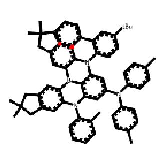 Cc1ccc(N(c2ccc(C)cc2)c2cc3c4c(c2)N(c2ccc(C(C)(C)C)cc2-c2ccccc2)c2cc5c(cc2B4c2cc4c(cc2N3c2ccccc2C)CC(C)(C)C4)CC(C)(C)C5)cc1